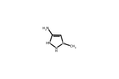 CN1C=C(N)NN1